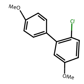 COc1ccc(-c2cc(OC)ccc2Cl)cc1